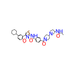 CCC(=O)NC1CCN(C2CCN(C(=O)c3ccc(C(=O)Nc4nc(-c5cc(C6CCCCC6)ccc5OC)cs4)cc3)CC2)C1